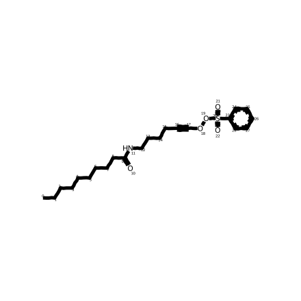 CCCCCCCCCC(=O)NCCCCC#COOS(=O)(=O)c1ccccc1